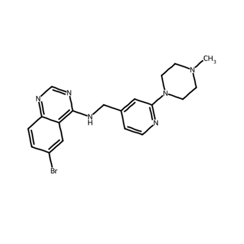 CN1CCN(c2cc(CNc3ncnc4ccc(Br)cc34)ccn2)CC1